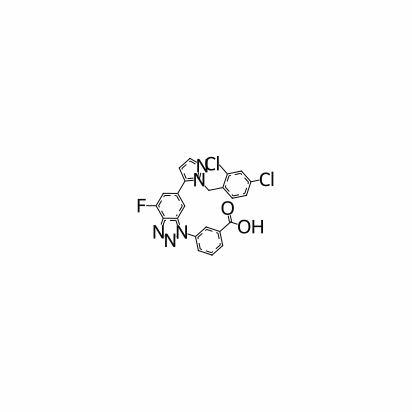 O=C(O)c1cccc(-n2nnc3c(F)cc(-c4ccnn4Cc4ccc(Cl)cc4Cl)cc32)c1